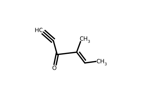 C#CC(=O)/C(C)=C/C